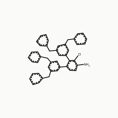 [SiH3]c1ccc(-c2cc(Cc3ccccc3)cc(Cc3ccccc3)c2)c(-c2cc(Cc3ccccc3)cc(Cc3ccccc3)c2)c1Cl